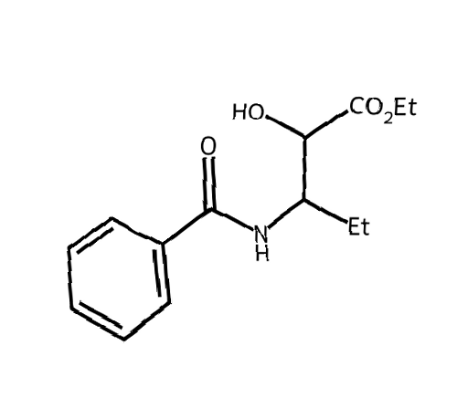 CCOC(=O)C(O)C(CC)NC(=O)c1ccccc1